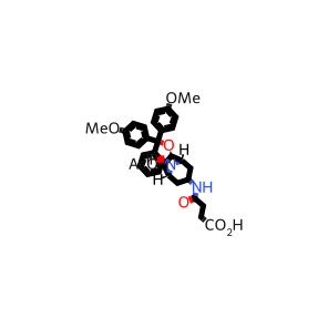 COc1ccc(C(O[C@H]2[C@@H](OC(C)=O)[C@@H]3CC(NC(=O)CCC(=O)O)C[C@H]2N3C(C)C)(c2ccccc2)c2ccc(OC)cc2)cc1